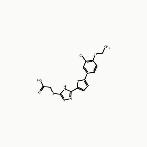 CCOc1ccc(-c2ccc(-c3nnc(SCC(=O)O)[nH]3)o2)cc1Cl